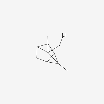 [Li][CH2]C1(C)C2CC3C(C2)C31C